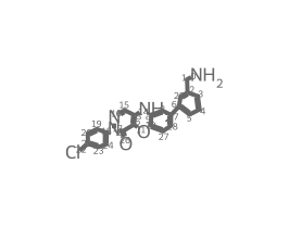 NCc1cccc(-c2ccc(Oc3c(N)cnn(-c4ccc(Cl)cc4)c3=O)cc2)c1